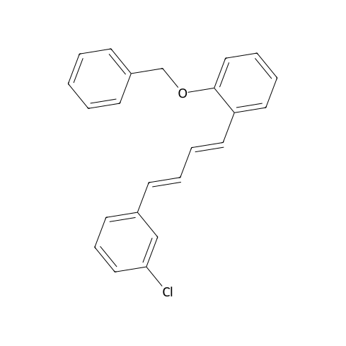 Clc1cccc(C=CC=Cc2ccccc2OCc2ccccc2)c1